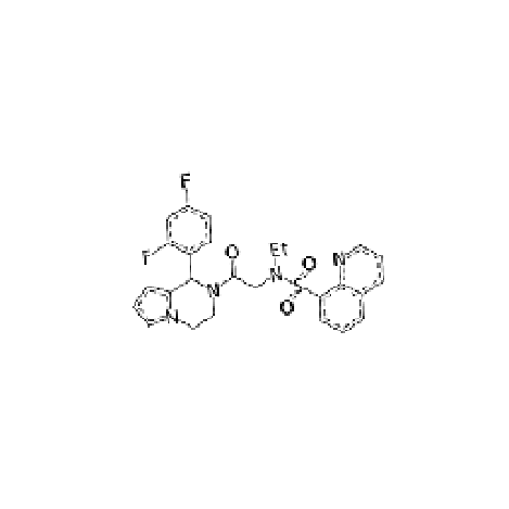 CCN(CC(=O)N1CCn2cccc2C1c1ccc(F)cc1F)S(=O)(=O)c1cccc2cccnc12